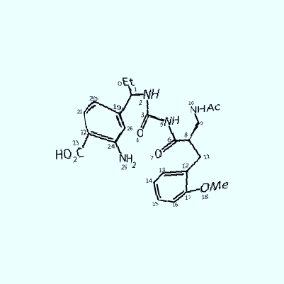 CCC(NC(=O)NC(=O)[C@@H](CNC(C)=O)Cc1ccccc1OC)c1ccc(C(=O)O)c(N)c1